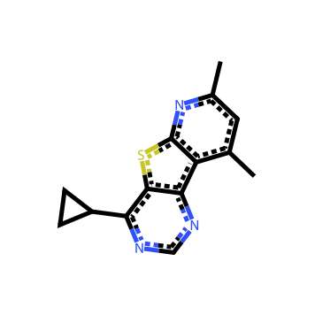 Cc1cc(C)c2c(n1)sc1c(C3CC3)ncnc12